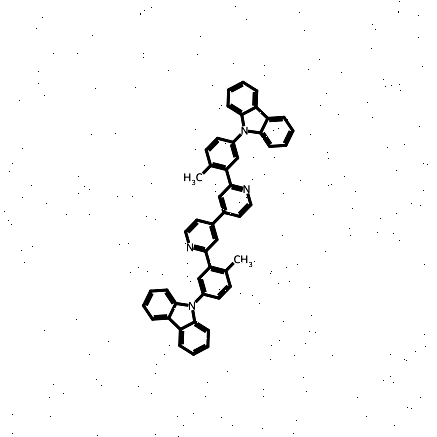 Cc1ccc(-n2c3ccccc3c3ccccc32)cc1-c1cc(-c2ccnc(-c3cc(-n4c5ccccc5c5ccccc54)ccc3C)c2)ccn1